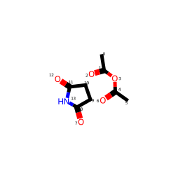 CC(=O)OC(C)=O.O=C1CCC(=O)N1